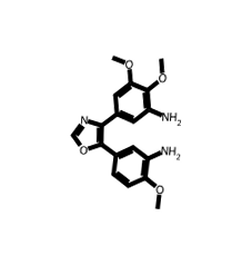 COc1ccc(-c2ocnc2-c2cc(N)c(OC)c(OC)c2)cc1N